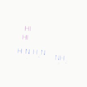 I.I.N.NN